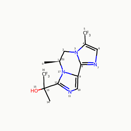 C[C@H]1Cn2c(C(F)(F)F)cnc2-c2cnc(C(C)(O)C(F)(F)F)n21